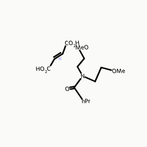 CCCC(=O)N(CCOC)CCOC.O=C(O)/C=C/C(=O)O